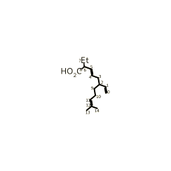 C=CC(CC=CC(CC)C(=O)O)CCC=C(C)C